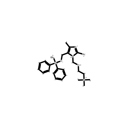 CC(=O)c1nc(C)c(CO[Si](c2ccccc2)(c2ccccc2)C(C)(C)C)n1COCC[Si](C)(C)C